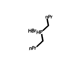 Br.CCCCPCCCC